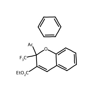 CCOC(=O)C1=Cc2ccccc2OC1(C(C)=O)C(F)(F)F.c1ccccc1